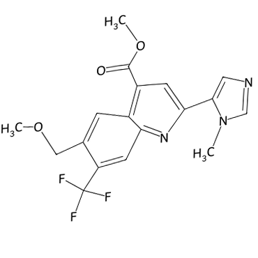 COCc1cc2c(C(=O)OC)cc(-c3cncn3C)nc2cc1C(F)(F)F